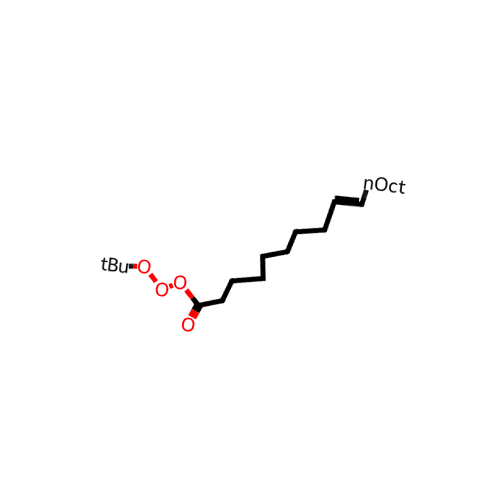 CCCCCCCCC=CCCCCCCCC(=O)OOOC(C)(C)C